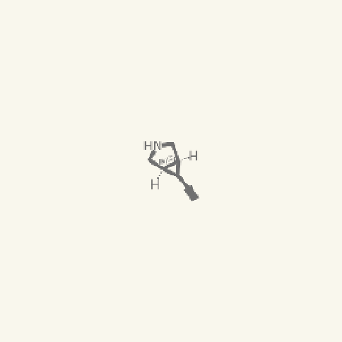 C#CC1[C@H]2CNC[C@@H]12